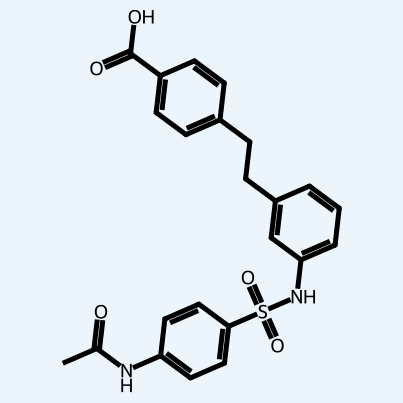 CC(=O)Nc1ccc(S(=O)(=O)Nc2cccc(CCc3ccc(C(=O)O)cc3)c2)cc1